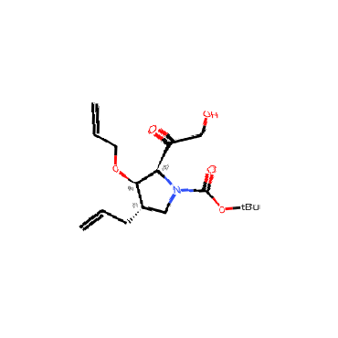 C=CCO[C@@H]1[C@@H](CC=C)CN(C(=O)OC(C)(C)C)[C@@H]1C(=O)CO